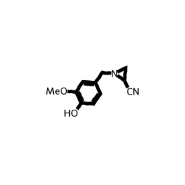 COc1cc(CN2CC2C#N)ccc1O